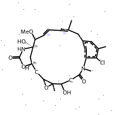 COC1/C=C/C=C(\C)Cc2cc(C)c(Cl)c(c2)N(C)C(=O)CC(O)C2(C)OC2C[C@@H]2C[C@@]1(O)NC(=O)O2